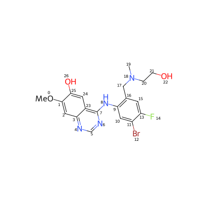 COc1cc2ncnc(Nc3cc(Br)c(F)cc3CN(C)CCO)c2cc1O